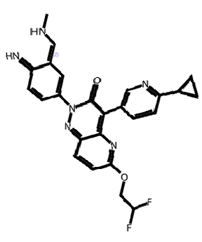 CN/C=C1/C=C(n2nc3ccc(OCC(F)F)nc3c(-c3ccc(C4CC4)nc3)c2=O)C=CC1=N